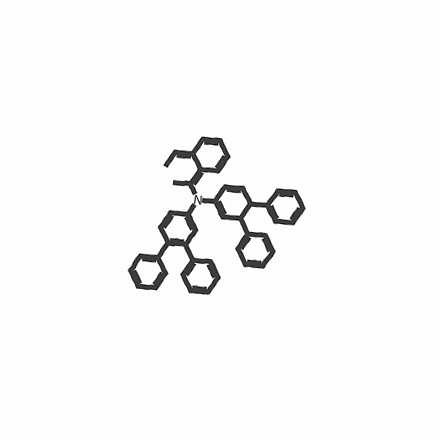 C/C=c1/cccc/c1=C(/C)N(C1=CC(c2ccccc2)C(c2ccccc2)C=C1)c1ccc(-c2ccccc2)c(-c2ccccc2)c1